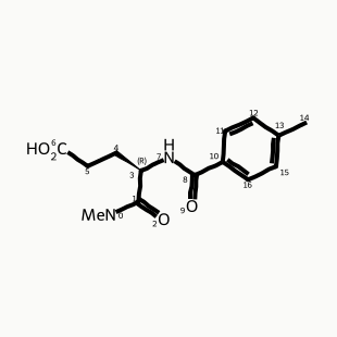 CNC(=O)[C@@H](CCC(=O)O)NC(=O)c1ccc(C)cc1